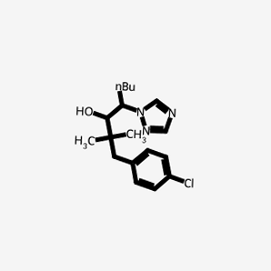 CCCCC(C(O)C(C)(C)Cc1ccc(Cl)cc1)n1cncn1